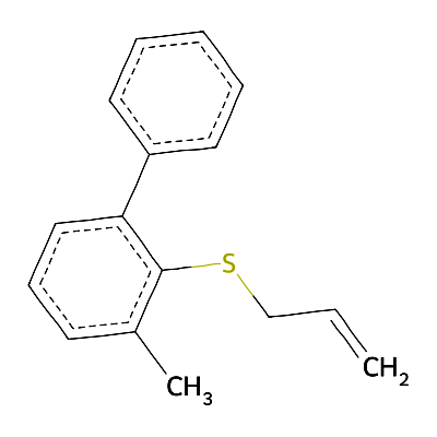 C=CCSc1c(C)cccc1-c1ccccc1